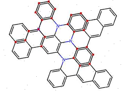 c1ccc(N(c2ccccc2)c2ccc(N(c3ccccc3)c3ccccc3-c3ccc4ccccc4c3)c(N(c3ccccc3)c3ccccc3-c3ccc4ccccc4c3)c2N(c2ccccc2)c2ccccc2-c2ccc3ccccc3c2)cc1